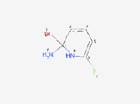 NC1(Br)C=CC=C(F)N1